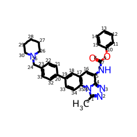 Cc1nnc2c(NC(=O)Oc3ccccc3)cc3cc(-c4ccc(CN5CCCCC5)cc4)ccc3n12